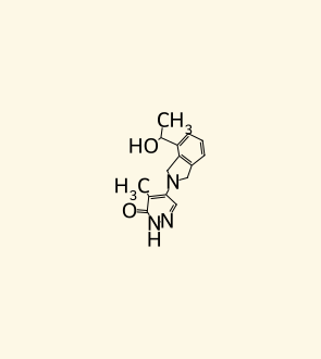 Cc1c(N2Cc3cccc(C(C)O)c3C2)cn[nH]c1=O